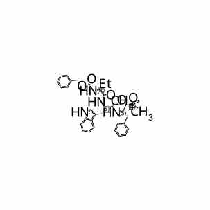 C=C(N[C@@H](Cc1ccccc1)C(=O)[C@@]1(C)CO1)[C@H](Cc1c[nH]c2ccccc12)NC(=O)[C@@H](CC)NC(=O)OCc1ccccc1